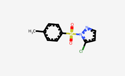 Cc1ccc(S(=O)(=O)n2nc[c]c2Cl)cc1